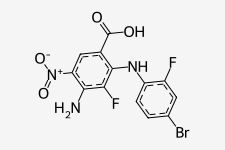 Nc1c([N+](=O)[O-])cc(C(=O)O)c(Nc2ccc(Br)cc2F)c1F